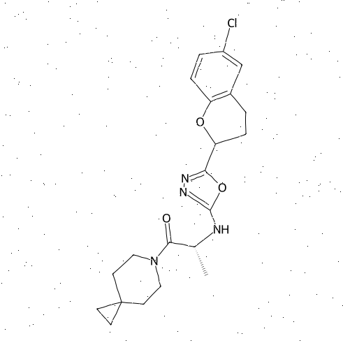 C[C@@H](Nc1nnc(C2CCc3cc(Cl)ccc3O2)o1)C(=O)N1CCC2(CC1)CC2